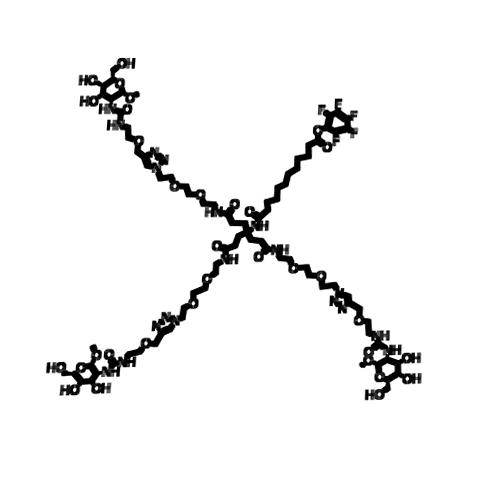 CO[C@@H]1O[C@H](CO)[C@H](O)[C@H](O)[C@H]1NC(=O)NCCOCc1cn(CCOCCOCCNC(=O)CCC(CCC(=O)NCCOCCOCCn2cc(COCCNC(=O)N[C@H]3[C@H](OC)O[C@H](CO)[C@H](O)[C@@H]3O)nn2)(CCC(=O)NCCOCCOCCn2cc(COCCNC(=O)N[C@H]3[C@H](OC)O[C@H](CO)[C@H](O)[C@@H]3O)nn2)NC(=O)CCCCCCCCCCC(=O)Oc2c(F)c(F)c(F)c(F)c2F)nn1